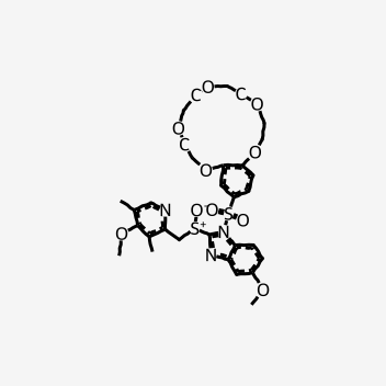 COc1ccc2c(c1)nc([S+]([O-])Cc1ncc(C)c(OC)c1C)n2S(=O)(=O)c1ccc2c(c1)OCCOCCOCCOCCO2